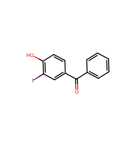 O=C(c1ccccc1)c1ccc(O)c(I)c1